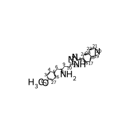 COc1ccc(C[C@H](N)CCc2nnc(-c3ccc4cnccc4c3)[nH]2)cc1